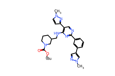 Cn1cc(-c2cccc(-c3ncc(-c4ccn(C)n4)c(NCC4CCCN(C(=O)OC(C)(C)C)C4)n3)c2)cn1